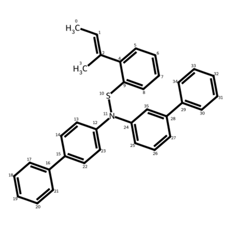 C/C=C(\C)c1ccccc1SN(c1ccc(-c2ccccc2)cc1)c1cccc(-c2ccccc2)c1